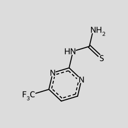 NC(=S)Nc1nccc(C(F)(F)F)n1